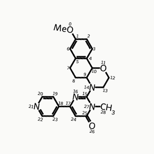 COc1ccc2c(c1)CCC1C2OCCN1c1nc(-c2ccncc2)cc(=O)n1C